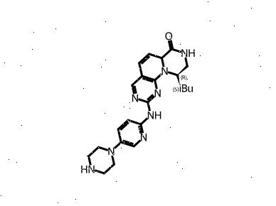 CC[C@H](C)[C@@H]1CNC(=O)C2C=Cc3cnc(Nc4ccc(N5CCNCC5)cn4)nc3N21